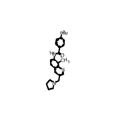 CCCCc1ccc(C(=O)Nc2ccc3cc(CN4CCCC4)cnc3c2C)cc1